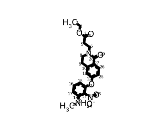 CCOC(=O)CCN1CCc2cc(Oc3cccc(NC)c3[N+](=O)[O-])ccc2C1=O